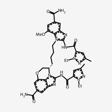 CCn1nc(C)cc1C(=O)Nc1nc2cc(C(N)=O)cc(OC)c2n1CCCC[C@H]1COc2cc(C(N)=O)cc3nc(NC(=O)c4cc(C)nn4CC)n1c23